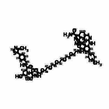 COc1c(Nc2ncc3c(n2)-c2c(c(C(N)=O)nn2C)CC3)cc(N2CCN(C)CC2)cc1C(=O)NCCOCCOCCOCCOCCOCC(=O)N[C@H](C(=O)N1C[C@H](O)C[C@H]1C(=O)NCc1ccc(-c2scnc2C)cc1)C(C)(C)C